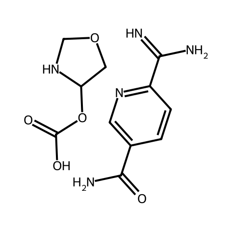 N=C(N)c1ccc(C(N)=O)cn1.O=C(O)OC1COCN1